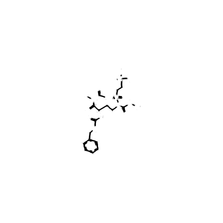 C=CC[C@H](CN(C(=O)OC(C)(C)C)S(=O)(=O)CC[Si](C)(C)C)[C@H](NC(=O)OCc1ccccc1)C(=O)OC(C)(C)C